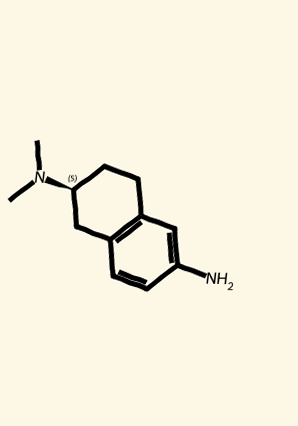 CN(C)[C@H]1CCc2cc(N)ccc2C1